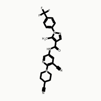 Cc1c(C(=O)Nc2cnc(N3CCC(C#N)CC3)c(C#N)c2)cnn1-c1ccc(C(F)(F)F)cc1